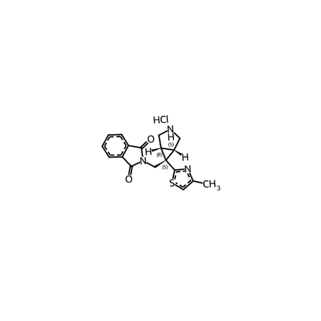 Cc1csc([C@]2(CN3C(=O)c4ccccc4C3=O)[C@@H]3CNC[C@@H]32)n1.Cl